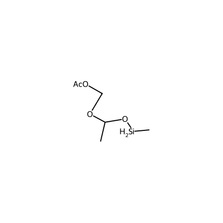 C[SiH2]OC(C)OCOC(C)=O